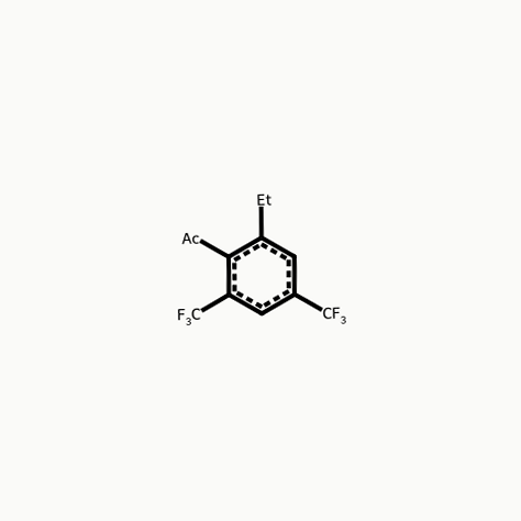 CCc1cc(C(F)(F)F)cc(C(F)(F)F)c1C(C)=O